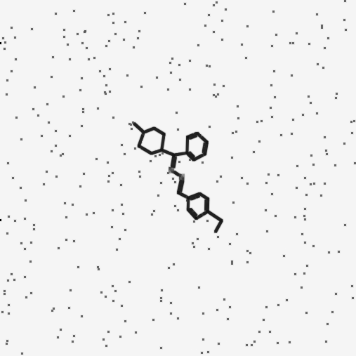 CCc1ccc(C=NN=C(c2ccccc2)C2CCC(C)CC2)cc1